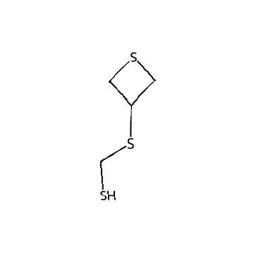 SCSC1CSC1